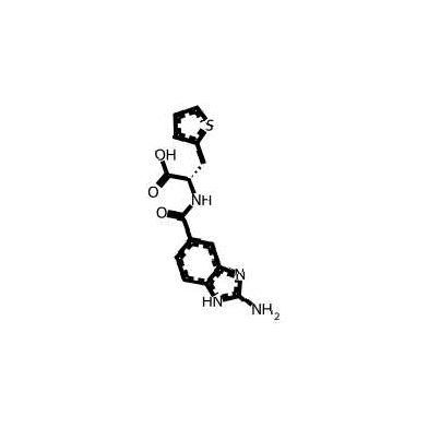 Nc1nc2cc(C(=O)N[C@@H](Cc3cccs3)C(=O)O)ccc2[nH]1